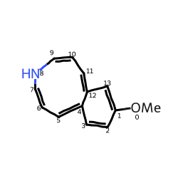 COc1ccc2ccc[nH]cccc2c1